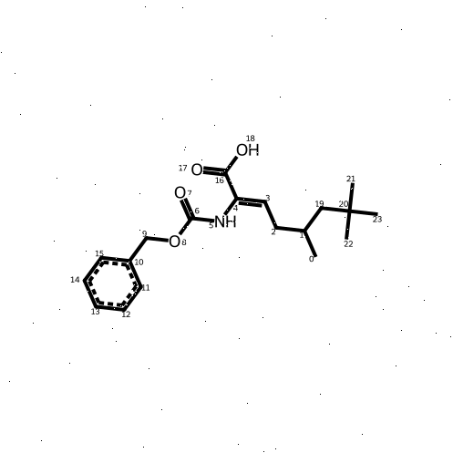 CC(C/C=C(\NC(=O)OCc1ccccc1)C(=O)O)CC(C)(C)C